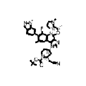 Cc1cc2c(nc(O[C@@H](C)[C@@H]3CCCN3C)c3nnn([C@H]4CCN(C(=O)OC(C)(C)C)[C@H](CC#N)C4)c32)c(F)c1-c1ccc2cnn(C)c2c1